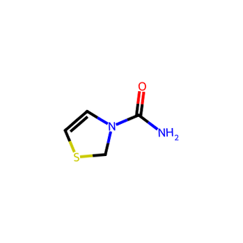 NC(=O)N1C=CSC1